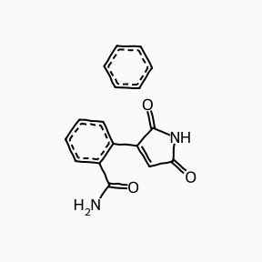 NC(=O)c1ccccc1C1=CC(=O)NC1=O.c1ccccc1